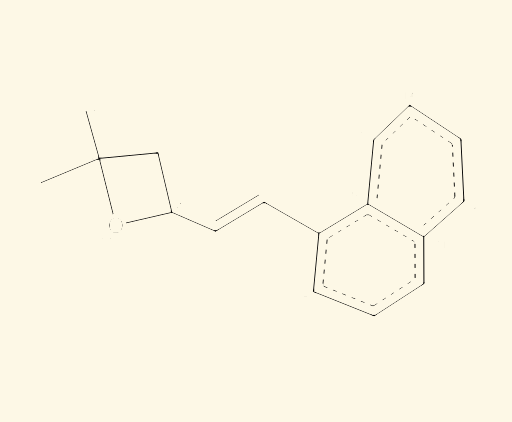 CC1(C)CC(C=Cc2cccc3ccccc23)O1